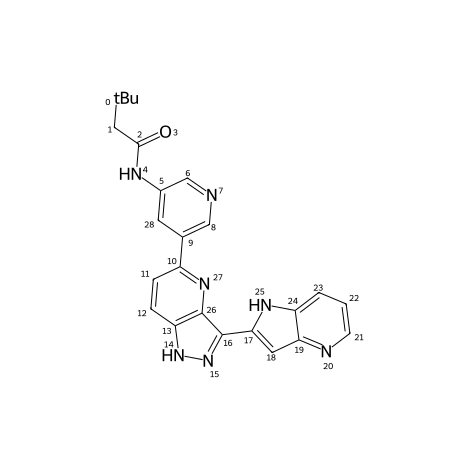 CC(C)(C)CC(=O)Nc1cncc(-c2ccc3[nH]nc(-c4cc5ncccc5[nH]4)c3n2)c1